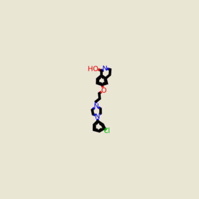 OC1=NCCc2cc(OCCCN3CCN(c4cccc(Cl)c4)CC3)ccc21